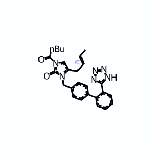 C/C=C/Cc1cn(C(=O)CCCC)c(=O)n1Cc1ccc(-c2ccccc2-c2nnn[nH]2)cc1